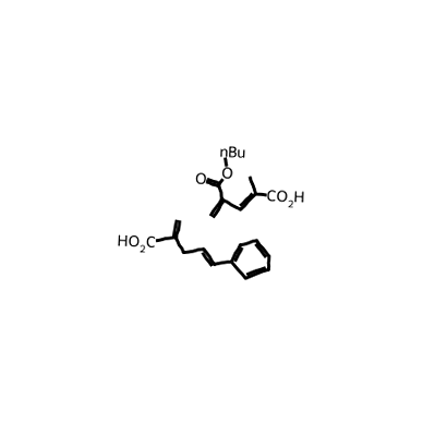 C=C(C=C(C)C(=O)O)C(=O)OCCCC.C=C(CC=Cc1ccccc1)C(=O)O